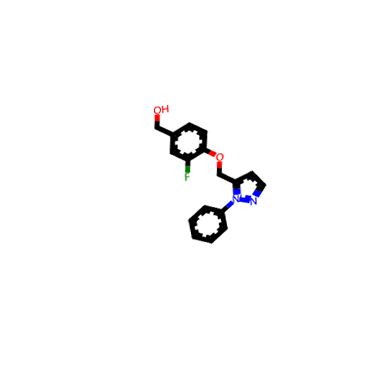 OCc1ccc(OCc2ccnn2-c2ccccc2)c(F)c1